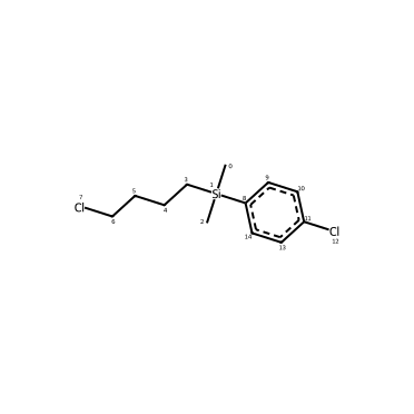 C[Si](C)(CCCCCl)c1ccc(Cl)cc1